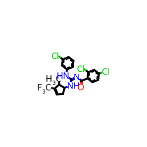 CC1C(C(F)(F)F)=CCC1N/C(=N\C(=O)c1ccc(Cl)cc1Cl)Nc1cccc(Cl)c1